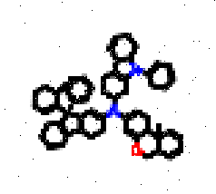 CC1CCCC=C1[C@]1(c2ccccc2)C2=C(CCC(N(C3=CCC4C(=C3)OCC3C=CC=CC34C)C3CCC4=C(C3)N(C3=CC=CCC3)C3CCC=CC43)=C2)C2=C1CCC=C2